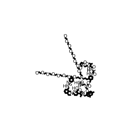 COCCOCCOCCOCCOCCOCCOCCOCCCN(CCCOCCOCCOCCOCCOCCOCCOCCOC)CCCc1cc(NC(=O)[C@H](C)NC(=O)[C@@H](NC(=O)CN2C(=O)C=CC2=O)C(C)C)ccc1COC(=O)N(CCOC12CC3(C)CC(C)(CC(Cn4ncc(-c5ccc(N6CCc7cccc(CNc8nc9ccccc9s8)c7C6)nc5C(=O)O)c4C)(C3)C1)C2)CCS(=O)(=O)O